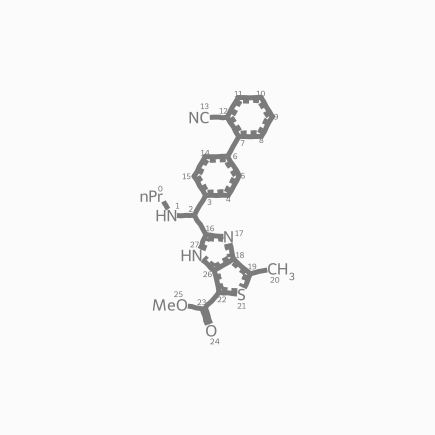 CCCNC(c1ccc(-c2ccccc2C#N)cc1)c1nc2c(C)sc(C(=O)OC)c2[nH]1